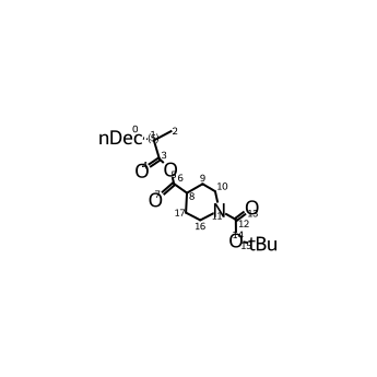 CCCCCCCCCC[C@H](C)C(=O)OC(=O)C1CCN(C(=O)OC(C)(C)C)CC1